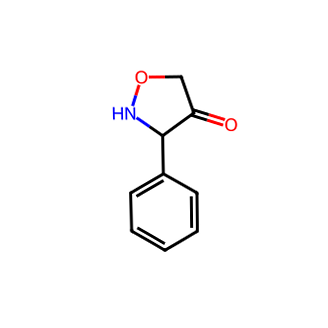 O=C1CONC1c1ccccc1